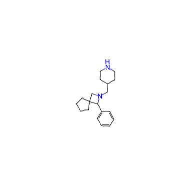 c1ccc(C2N(CC3CCNCC3)CC23CCCC3)cc1